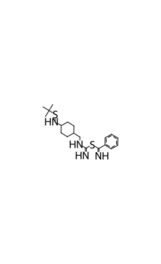 CC(C)(C)SNC1CCC(CNC(=N)SC(=N)c2ccccc2)CC1